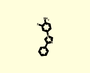 Nc1ccc(-n2cnc(-c3ccccc3)c2)cc1F